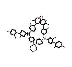 Cc1ccc(-c2ccc(N(c3ccc(C4(c5ccc(N(c6ccc(-c7ccc(C)cc7C)c(C)c6)c6ccc(-c7ccc(C)cc7C)c(C)c6)cc5)CCCCC4)cc3)c3ccc(-c4ccc(C)cc4C)c(C)c3)cc2C)c(C)c1